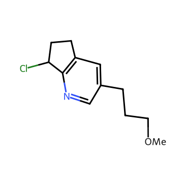 COCCCc1cnc2c(c1)CCC2Cl